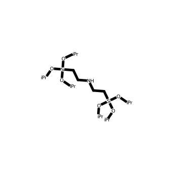 CC(C)O[Si](CCNCC[Si](OC(C)C)(OC(C)C)OC(C)C)(OC(C)C)OC(C)C